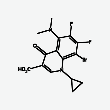 CN(C)c1c(F)c(F)c(Br)c2c1c(=O)c(C(=O)O)cn2C1CC1